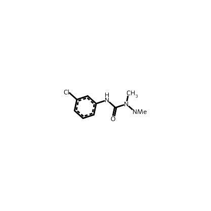 CNN(C)C(=O)Nc1cccc(Cl)c1